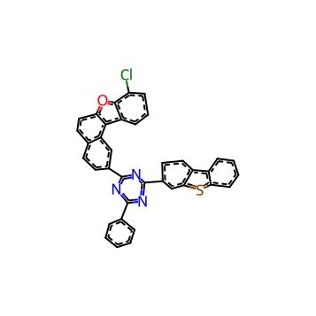 Clc1cccc2c1oc1ccc3ccc(-c4nc(-c5ccccc5)nc(-c5ccc6c(c5)sc5ccccc56)n4)cc3c12